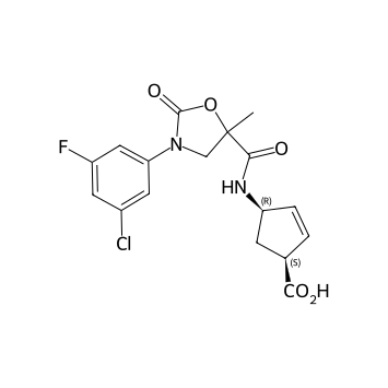 CC1(C(=O)N[C@H]2C=C[C@@H](C(=O)O)C2)CN(c2cc(F)cc(Cl)c2)C(=O)O1